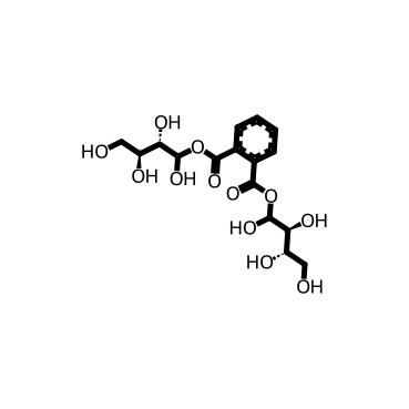 O=C(OC(O)[C@@H](O)[C@@H](O)CO)c1ccccc1C(=O)OC(O)[C@@H](O)[C@@H](O)CO